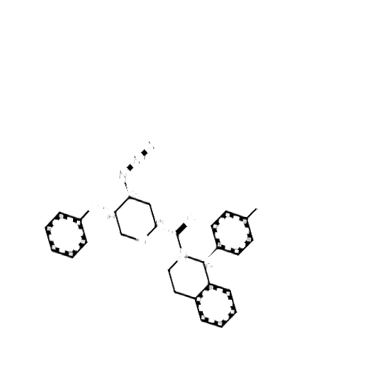 [N-]=[N+]=N[C@H]1C[C@H](C(=O)N2CCc3ccccc3[C@@H]2c2ccc(F)cc2)OC[C@@H]1Oc1ccccc1